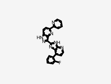 Fc1ccccc1-c1ccnc2[nH]c(-c3n[nH]c4ccc(-c5ccccn5)nc34)nc12